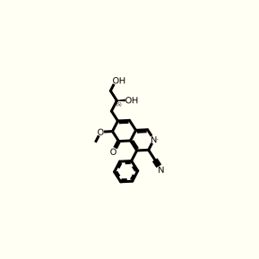 COC1C(=O)C2=C(c3ccccc3)C(C#N)[N]C=C2C=C1C[C@H](O)CO